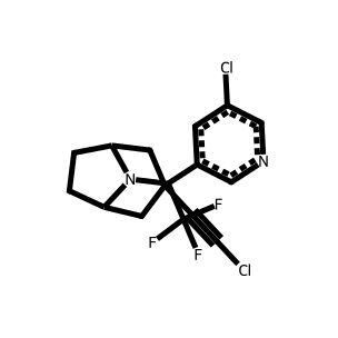 FC(F)(F)CN1C2CCC1CC(C#CCl)(c1cncc(Cl)c1)C2